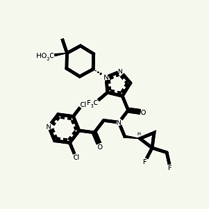 C[C@]1(C(=O)O)CC[C@H](n2ncc(C(=O)N(CC(=O)c3c(Cl)cncc3Cl)C[C@H]3CC3(F)CF)c2C(F)(F)F)CC1